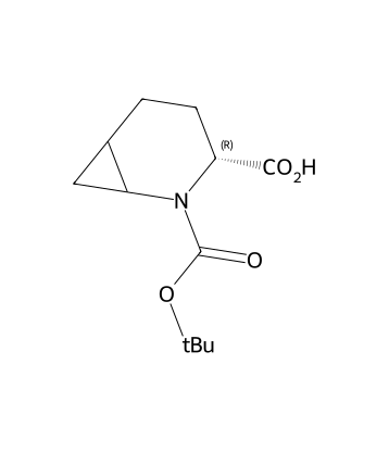 CC(C)(C)OC(=O)N1C2CC2CC[C@@H]1C(=O)O